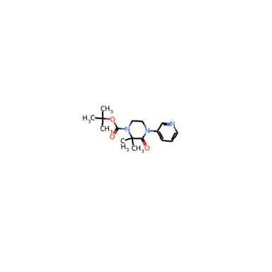 CC(C)(C)OC(=O)N1CCN(c2cccnc2)C(=O)C1(C)C